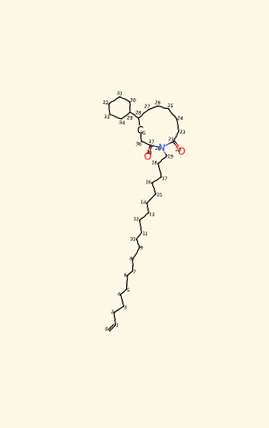 C=CCCCCCCCCCCCCCCCCCCN1C(=O)CCCCCC(C2CCCCC2)CCC1=O